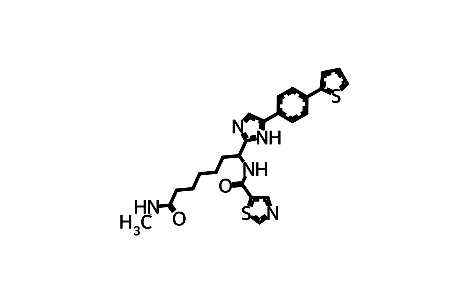 CNC(=O)CCCCCC(NC(=O)c1cncs1)c1ncc(-c2ccc(-c3cccs3)cc2)[nH]1